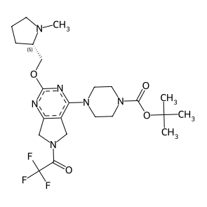 CN1CCC[C@H]1COc1nc2c(c(N3CCN(C(=O)OC(C)(C)C)CC3)n1)CN(C(=O)C(F)(F)F)C2